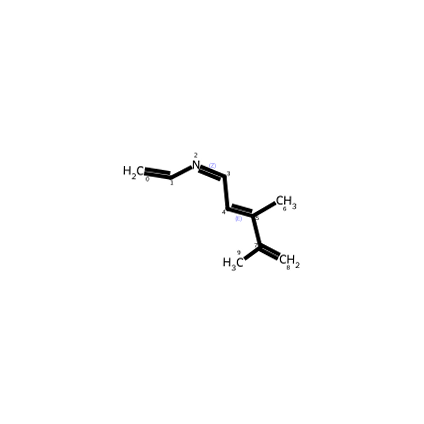 C=C/N=C\C=C(/C)C(=C)C